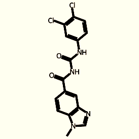 Cn1cnc2cc(C(=O)NC(=O)Nc3ccc(Cl)c(Cl)c3)ccc21